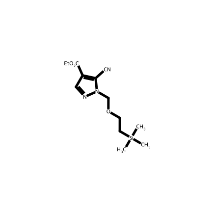 CCOC(=O)c1cnn(COCC[Si](C)(C)C)c1C#N